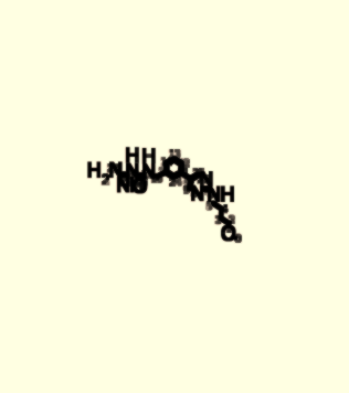 COCCCCNc1ncc(-c2cccc(CNC(=O)NC(=N)N)c2)cn1